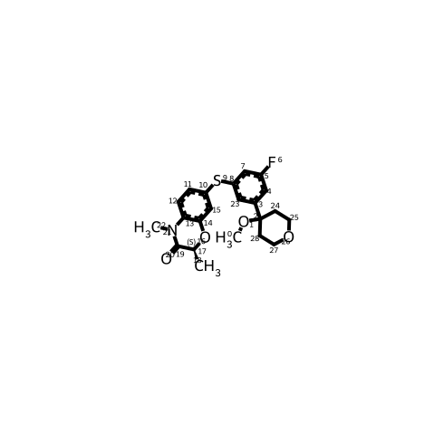 COC1(c2cc(F)cc(Sc3ccc4c(c3)O[C@@H](C)C(=O)N4C)c2)CCOCC1